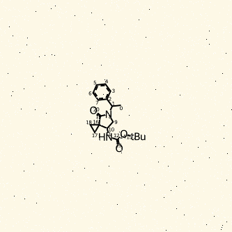 CC(c1ccccc1)N1CC(NC(=O)OC(C)(C)C)C2(CC2)C1=O